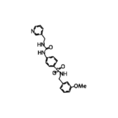 COc1cccc(CNS(=O)(=O)c2ccc(NC(=O)NCc3cccnc3)cc2)c1